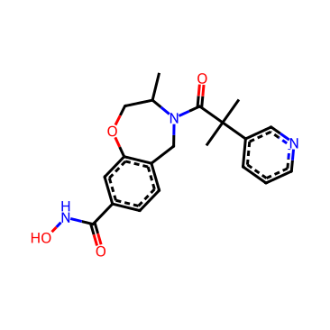 CC1COc2cc(C(=O)NO)ccc2CN1C(=O)C(C)(C)c1cccnc1